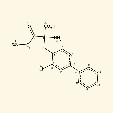 CC(C)(C)OC(=O)C(N)(Cc1ccc(-c2ccccc2)cc1Cl)C(=O)O